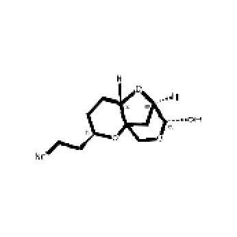 N#CCC[C@H]1CC[C@@H]2O[C@@H]3CC2(CO[C@H]3O)O1